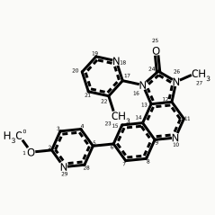 COc1ccc(-c2ccc3ncc4c(c3c2)n(-c2ncccc2C)c(=O)n4C)cn1